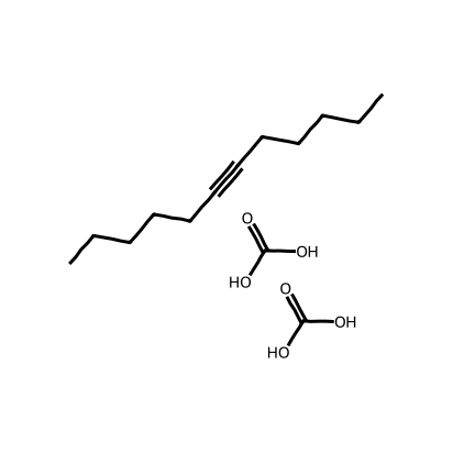 CCCCCC#CCCCCC.O=C(O)O.O=C(O)O